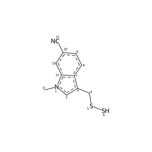 Cn1cc(CSS)c2ccc(C#N)cc21